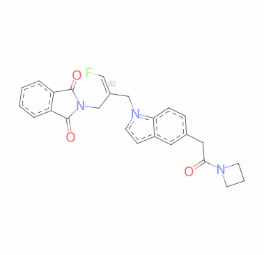 O=C(Cc1ccc2c(ccn2C/C(=C/F)CN2C(=O)c3ccccc3C2=O)c1)N1CCC1